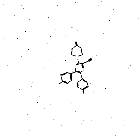 N#Cc1nc(-c2ccc(F)cc2)c(-c2ccc(F)cc2)nc1N1CCC(=O)CC1